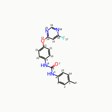 Cc1ccc(NC(=O)Nc2ccc(Oc3cc(F)ncn3)cc2)cc1